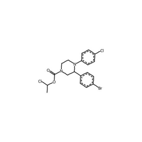 CC(Cl)OC(=O)N1CCN(c2ccc(Cl)cc2)C(c2ccc(Br)cc2)C1